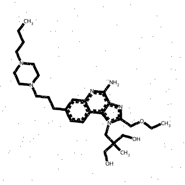 CCCCN1CCN(CCCc2ccc3c(c2)nc(N)c2nc(COCC)n(CC(C)(CO)CO)c23)CC1